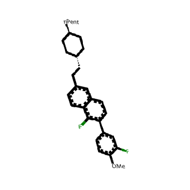 CCCCC[C@H]1CC[C@H](CCc2ccc3c(F)c(-c4ccc(OC)c(F)c4)ccc3c2)CC1